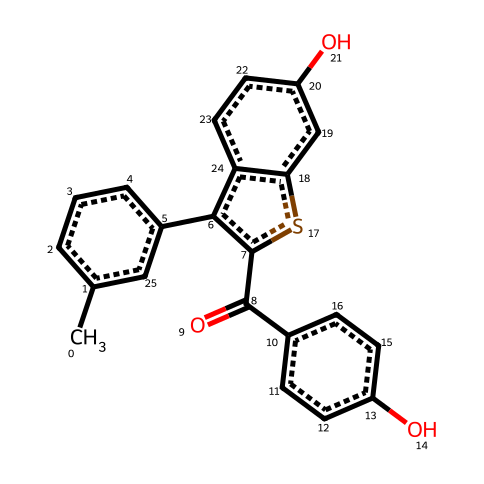 Cc1cccc(-c2c(C(=O)c3ccc(O)cc3)sc3cc(O)ccc23)c1